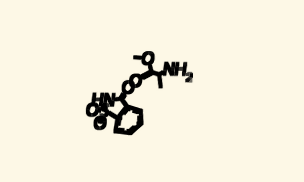 COC(=O)C(C)N.O=C1NS(=O)(=O)c2ccccc21